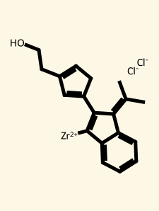 CC(C)=C1C(C2=CC(CCO)=CC2)=[C]([Zr+2])c2ccccc21.[Cl-].[Cl-]